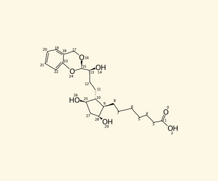 O=C(O)CCCCCC[C@@H]1[C@@H](CC[C@H](O)[C@@H]2OCc3ccccc3O2)[C@H](O)C[C@@H]1O